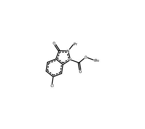 CC(C)n1c(=O)c2ccc(Cl)cc2n1C(=O)OC(C)(C)C